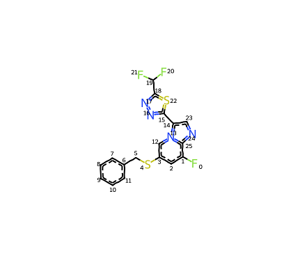 Fc1cc(SCc2ccccc2)cn2c(-c3nnc(C(F)F)s3)cnc12